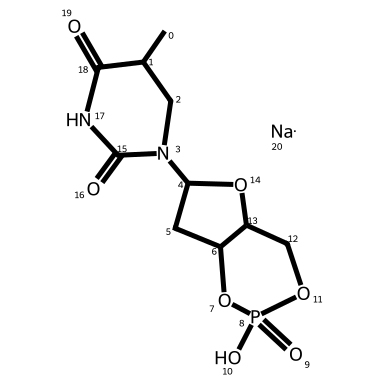 CC1CN(C2CC3OP(=O)(O)OCC3O2)C(=O)NC1=O.[Na]